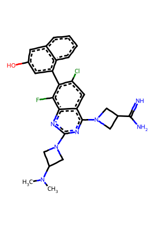 CN(C)C1CN(c2nc(N3CC(C(=N)N)C3)c3cc(Cl)c(-c4cc(O)cc5ccccc45)c(F)c3n2)C1